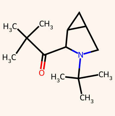 CC(C)(C)C(=O)C1C2CC2CN1C(C)(C)C